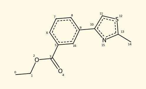 CCOC(=O)c1cccc(-c2csc(C)n2)c1